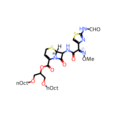 CCCCCCCCOCC(COCCCCCCCC)OC(=O)C1=CCS[C@@H]2C(NC(=O)/C(=N\OC)c3csc(NC=O)n3)C(=O)N12